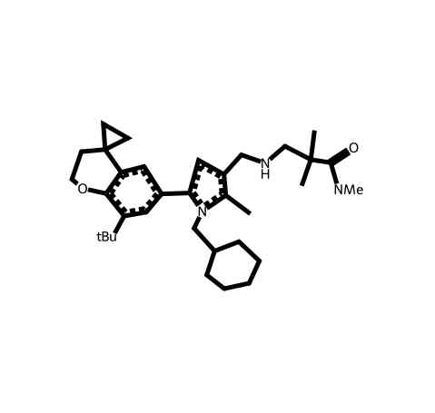 CNC(=O)C(C)(C)CNCc1cc(-c2cc(C(C)(C)C)c3c(c2)C2(CCO3)CC2)n(CC2CCCCC2)c1C